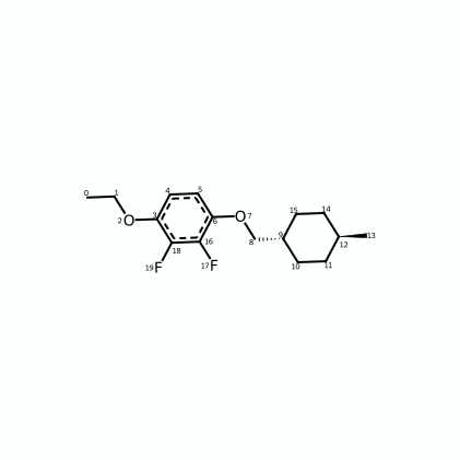 CCOc1ccc(OC[C@H]2CC[C@H](C)CC2)c(F)c1F